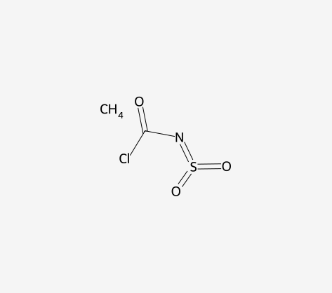 C.O=C(Cl)N=S(=O)=O